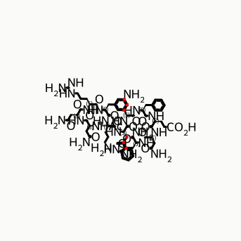 CC(=O)N[C@@H](CC(N)=O)C(=O)N[C@@H](CC(N)=O)C(=O)N[C@@H](CCCNC(=N)N)C(=O)N[C@@H](Cc1ccccc1)C(=O)N[C@@H](CCCN)C(=O)N[C@@H](Cc1c[nH]c2ccccc12)C(=O)N[C@@H](CCCN)C(=O)N[C@@H](Cc1ccccc1)C(=O)N[C@@H](CCC(=O)O)C(=O)N[C@@H](CC(N)=O)C(=O)N[C@@H](CC(N)=O)C(N)=O